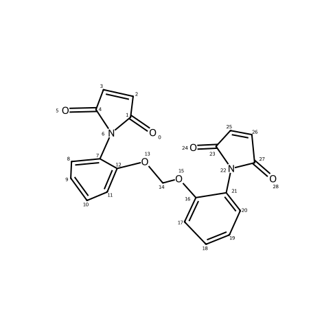 O=C1C=CC(=O)N1c1ccccc1OCOc1ccccc1N1C(=O)C=CC1=O